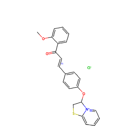 COc1ccccc1C(=O)/C=C/c1ccc(OC2CSc3cccc[n+]32)cc1.[Cl-]